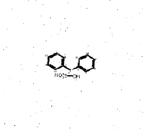 O=S(=O)(O)O.c1ccc([I+]c2ccccc2)cc1